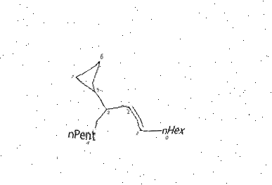 CCCCCCC=CC(CCCCC)C1CC1